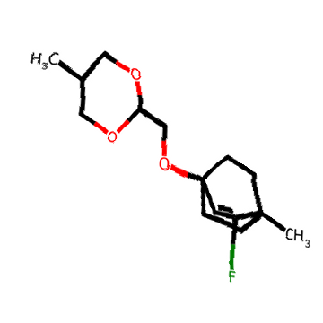 CC1COC(COC23C=C(F)C(C)(CC2)CC3)OC1